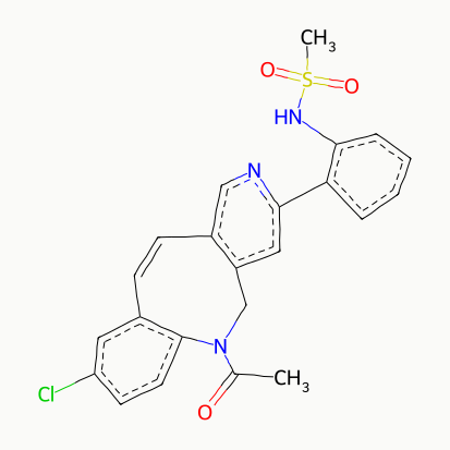 CC(=O)N1Cc2cc(-c3ccccc3NS(C)(=O)=O)ncc2C=Cc2cc(Cl)ccc21